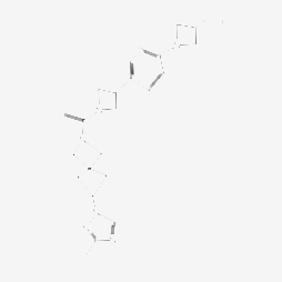 O=C(N1CC(c2ccc(N3CC(C(F)(F)F)C3)nc2)C1)N1CC2(CC(n3cnc(C(F)(F)F)n3)C2)C1